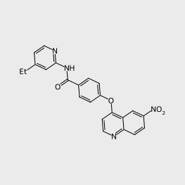 CCc1ccnc(NC(=O)c2ccc(Oc3ccnc4ccc([N+](=O)[O-])cc34)cc2)c1